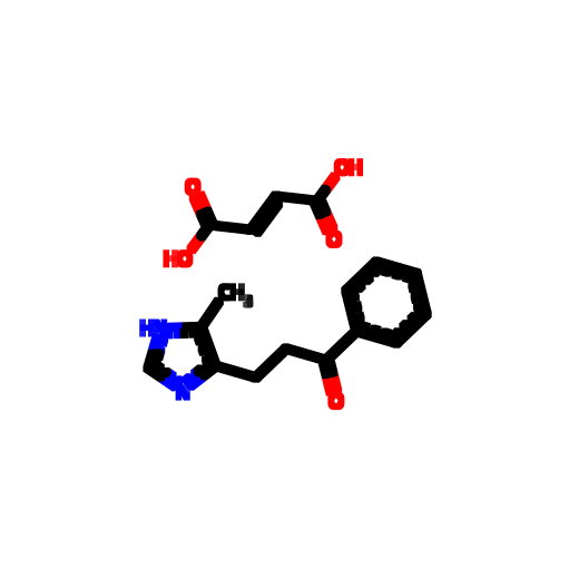 Cc1[nH]cnc1CCC(=O)c1ccccc1.O=C(O)C=CC(=O)O